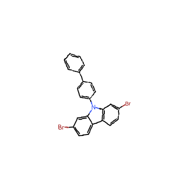 Brc1ccc2c3ccc(Br)cc3n(-c3ccc(-c4ccccc4)cc3)c2c1